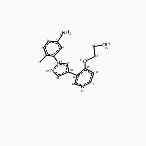 Cc1ccc(N)cc1-n1cc(-c2cnccc2OCCO)cn1